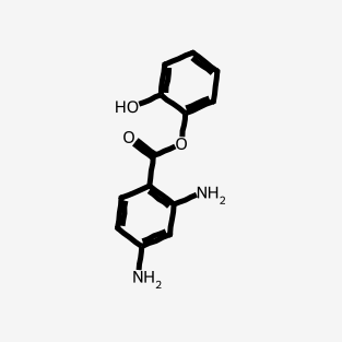 Nc1ccc(C(=O)Oc2ccccc2O)c(N)c1